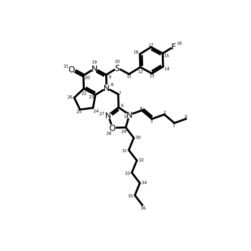 CCCC=CN1C(Cn2c(SCc3ccc(F)cc3)nc(=O)c3c2CCC3)=NOC1CCCCCCC